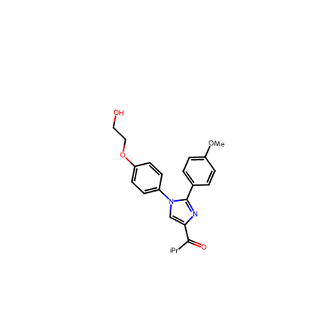 COc1ccc(-c2nc(C(=O)C(C)C)cn2-c2ccc(OCCO)cc2)cc1